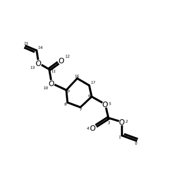 C=COC(=O)OC1CCC(OC(=O)OC=C)CC1